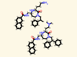 CC(CN1CC[C@@H](CNC(=O)c2ccc3ccccc3c2)N[C@@H](CCCN)C1=O)c1ccccc1.CN(C)CC[C@@H]1N[C@H](CNC(=O)c2ccc3ccccc3c2)CCN(CC(c2ccccc2)c2ccccc2)C1=O